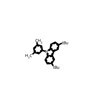 Cc1cc(C)cc(-n2c3ccc(C(C)(C)C)cc3c3cc(C(C)(C)C)ccc32)c1